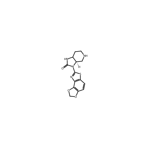 O=C1NC2CCNC[C@H]2N1c1nc2c3c(ccc2s1)OCO3